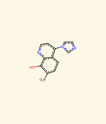 O=[N+]([O-])c1ccc2c(-n3ccnc3)ccnc2c1O